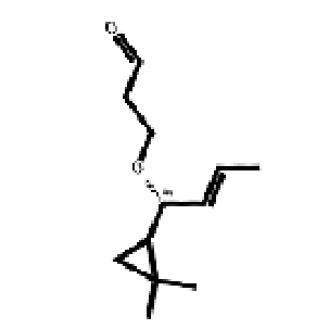 CC=C[C@@H](OCCC=O)C1CC1(C)C